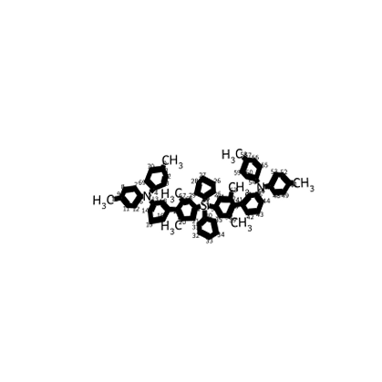 Cc1ccc(N(c2ccc(C)cc2)c2cccc(-c3c(C)cc([Si](c4ccccc4)(c4ccccc4)c4cc(C)c(-c5cccc(N(c6ccc(C)cc6)c6ccc(C)cc6)c5)c(C)c4)cc3C)c2)cc1